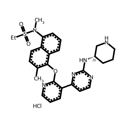 CCS(=O)(=O)N(C)c1cccc2c(Oc3ncccc3-c3ccnc(N[C@H]4CCCNC4)n3)c(C)ccc12.Cl